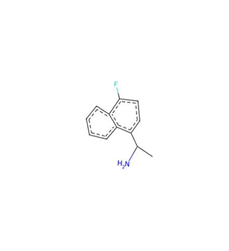 CC(N)c1ccc(F)c2ccccc12